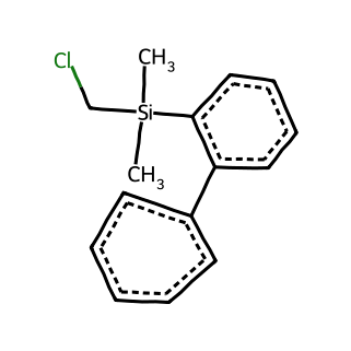 C[Si](C)(CCl)c1ccccc1-c1ccccc1